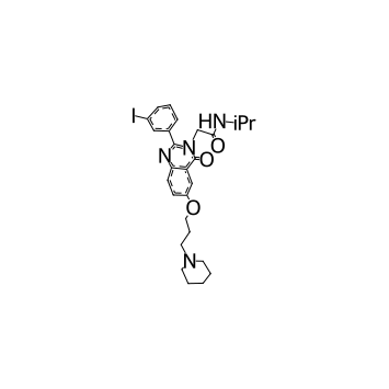 CC(C)NC(=O)Cn1c(-c2cccc(I)c2)nc2ccc(OCCCN3CCCCC3)cc2c1=O